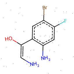 N/C=C(/O)c1cc(Br)c(F)cc1N